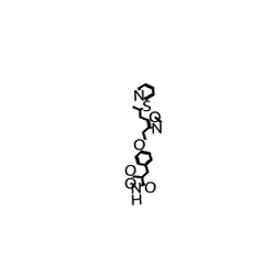 CC(Cc1ocnc1CCOc1ccc(CC2C(=O)NOC2=O)cc1)Sc1ccccn1